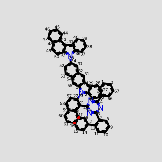 c1ccc(-c2nc(-c3ccccc3-c3ccccc3)nc(-c3c(-n4c5ccccc5c5cc6cc(-n7c8ccccc8c8c9ccccc9ccc87)ccc6cc54)ccc4ccccc34)n2)cc1